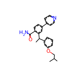 CC(C)COc1cccc(C(C)c2cc(-c3ccncc3)ccc2C(N)=O)c1